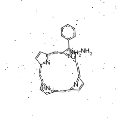 Nc1c(-c2ccccc2)c2cc3nc(cc4ccc(cc5nc(cc1n2N)C=C5)[nH]4)C=C3